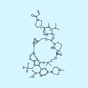 C=CC(=O)N1CC[C@H](C(=O)N(C)[C@H](C(=O)N[C@H]2Cc3ncc(o3)-c3ccc4c(c3)c(c(-c3cc(N5CCN(C)CC5)cnc3[C@H](C)OC)n4CC(F)(F)F)CC(C)(C)COC(=O)[C@@H]3CCCN(N3)C2=O)C(C)C)C1